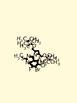 CSc1nc(N2C(CO[Si](C)(C)C(C)(C)C)CC2CO[Si](C)(C)C(C)(C)C)c2c(F)c(Cl)c(Br)c(F)c2n1